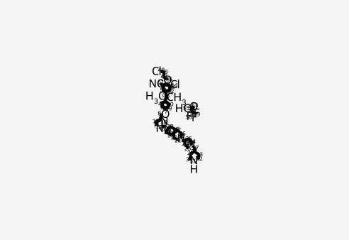 CC(C)(c1ccc(OCc2ccnc(N3CCC4(CC3)CCN(C3CCN(CC5CCNCC5)CC3)CC4)n2)cc1)c1cc(Cl)c(OCCCl)c(C#N)c1.O=C(O)C(F)(F)F